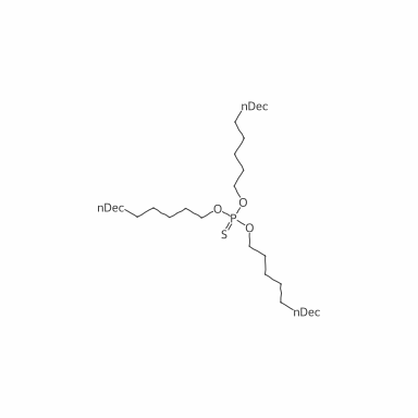 CCCCCCCCCCCCCCCOP(=S)(OCCCCCCCCCCCCCCC)OCCCCCCCCCCCCCCC